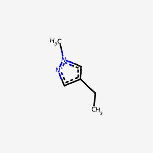 CCc1[c]n(C)nc1